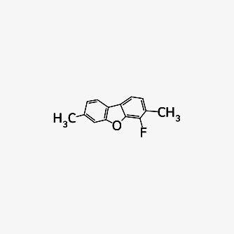 Cc1ccc2c(c1)oc1c(F)c(C)ccc12